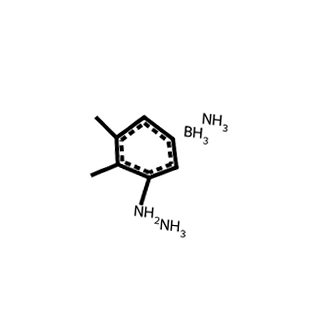 B.Cc1cccc(N)c1C.N.N